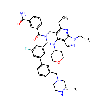 CCc1nc2c(cnn2CC)c(NC2CCOCC2)c1CN(Cc1cc(F)cc(-c2cccc(CN3CCN[C@@H](C)C3)c2)c1)C(=O)c1cccc(C(N)=O)c1